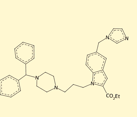 CCOC(=O)c1cc2cc(Cn3ccnc3)ccc2n1CCCN1CCN(C(c2ccccc2)c2ccccc2)CC1